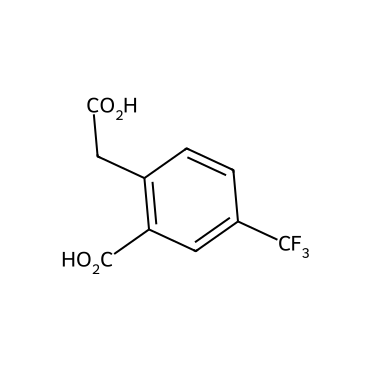 O=C(O)Cc1ccc(C(F)(F)F)cc1C(=O)O